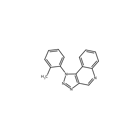 Cc1ccccc1-n1nnc2cnc3ccccc3c21